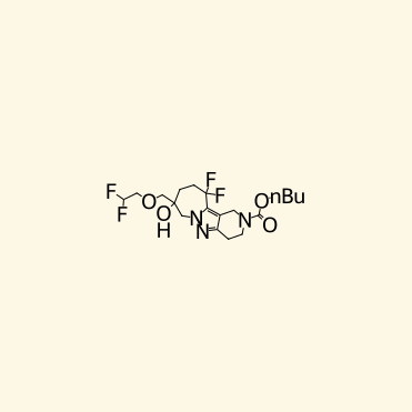 CCCCOC(=O)N1CCc2nn3c(c2C1)C(F)(F)CCC(O)(COCC(F)F)C3